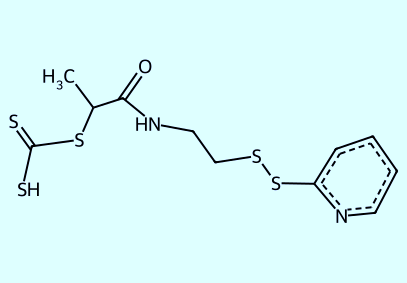 CC(SC(=S)S)C(=O)NCCSSc1ccccn1